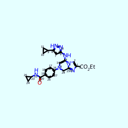 CCOC(=O)C1=C[N+]2C(Nc3cc(C4CC4)[nH]n3)=CN(c3ccc(C(=O)NC4CC4)cc3)CC2=N1